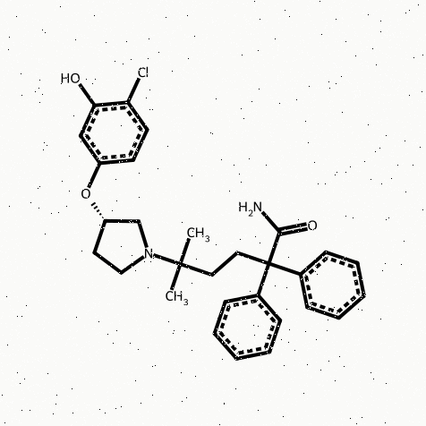 CC(C)(CCC(C(N)=O)(c1ccccc1)c1ccccc1)N1CC[C@H](Oc2ccc(Cl)c(O)c2)C1